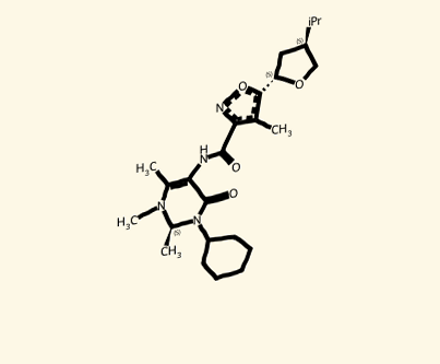 CC1=C(NC(=O)c2noc([C@@H]3C[C@@H](C(C)C)CO3)c2C)C(=O)N(C2CCCCC2)[C@@H](C)N1C